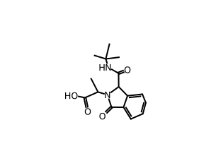 CC(C(=O)O)N1C(=O)c2ccccc2C1C(=O)NC(C)(C)C